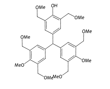 COCc1cc(C(c2cc(COC)c(OC)c(COC)c2)c2cc(COC)c(OC)c(COC)c2)cc(COC)c1O